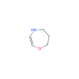 [CH]1CCNC=CO1